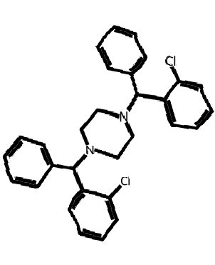 Clc1ccccc1C(c1ccccc1)N1CCN(C(c2ccccc2)c2ccccc2Cl)CC1